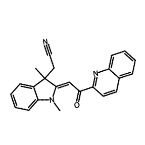 CN1/C(=C\C(=O)c2ccc3ccccc3n2)C(C)(CC#N)c2ccccc21